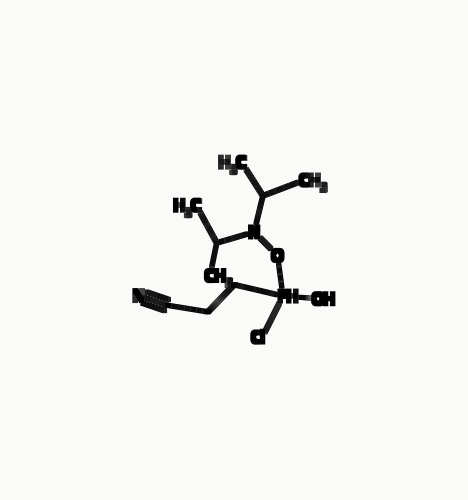 CC(C)N(O[PH](O)(Cl)CCC#N)C(C)C